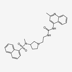 Cc1cc(NC(=O)NCCN2CCC(N(C)S(=O)(=O)c3cccc4ccccc34)C2)c2ccccc2n1